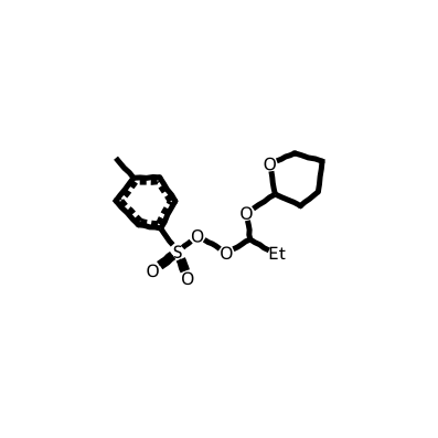 CCC(OOS(=O)(=O)c1ccc(C)cc1)OC1CCCCO1